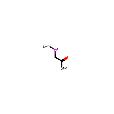 CNPCC(=O)OC